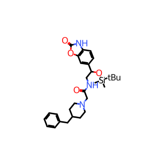 CC(C)(C)[Si](C)(C)OC(CNC(=O)CN1CCC(Cc2ccccc2)CC1)c1ccc2[nH]c(=O)oc2c1